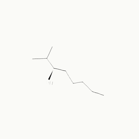 CCCCC[C@@H](O)C(C)C